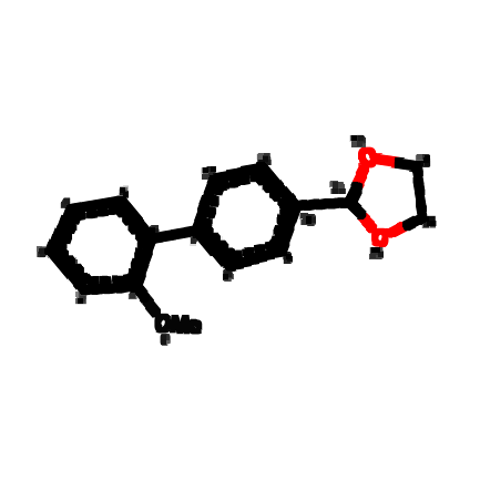 COc1ccccc1-c1ccc(C2OCCO2)cc1